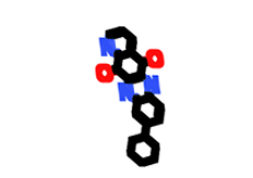 O=C1c2cccnc2C(=O)c2nc3cc(C4CCCCC4)ccc3nc21